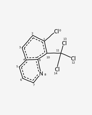 Clc1ccc2cccnc2c1C(Cl)(Cl)Cl